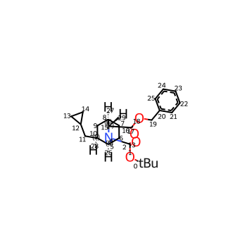 CC(C)(C)OC(=O)N1[C@H]2CC[C@H](C[C@@H]2CC2CC2)[C@@H]1C(=O)OCc1ccccc1